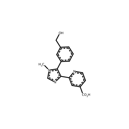 Cn1cnc(-c2cc(C(=O)O)ccn2)c1-c1cccc(CO)c1